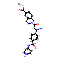 COC(=O)c1ccc2c(c1)CCN(C(=O)CC(N)c1ccc(C(=O)Nc3ccncc3)cc1)C2